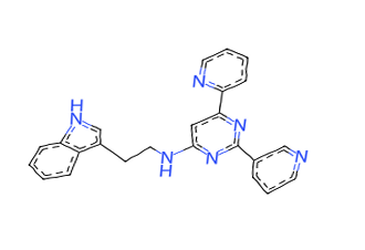 c1ccc(-c2cc(NCCc3c[nH]c4ccccc34)nc(-c3cccnc3)n2)nc1